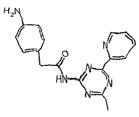 Cc1nc(NC(=O)Cc2ccc(N)cc2)nc(-c2ccccn2)n1